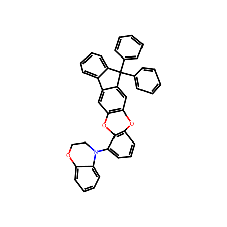 c1ccc(C2(c3ccccc3)c3ccccc3-c3cc4c(cc32)Oc2cccc(N3CCOc5ccccc53)c2O4)cc1